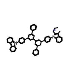 C/C=C\c1c(C)c2ccccc2n1-c1ccc(C2C=C(c3cc(-c4ccccc4)cc(-c4ccc(-n5c6ccccc6c6ccccc65)cc4)c3)C=C(c3ccccc3)C2)cc1